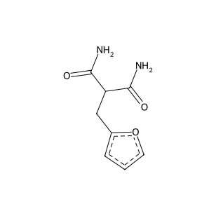 NC(=O)C(Cc1ccco1)C(N)=O